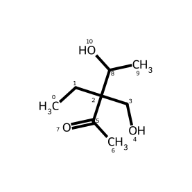 CCC(CO)(C(C)=O)C(C)O